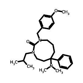 COc1ccc(CN2CCCC(c3ccccc3)(N(C)C)CCN(CC(C)C)C2=O)cc1